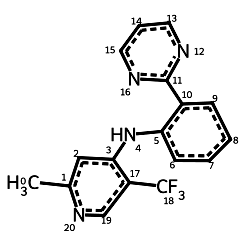 Cc1cc(Nc2ccccc2-c2ncccn2)c(C(F)(F)F)cn1